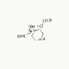 C1CNCCN1.CC(C)(C)OC=O.O=CO